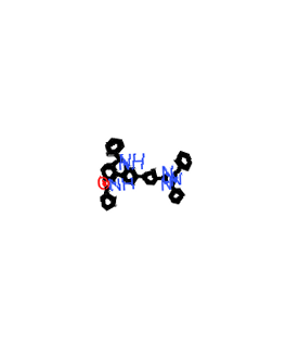 C1=C2C(=C3NC(c4ccccc4)OC3C1)c1ccc(-c3ccc(-c4nc(-c5ccccc5)nc(-c5ccccc5)n4)cc3)cc1NC2c1ccccc1